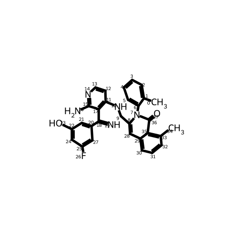 Cc1ccccc1-n1c(CNc2ccnc(N)c2C(=N)c2cc(O)cc(F)c2)cc2cccc(C)c2c1=O